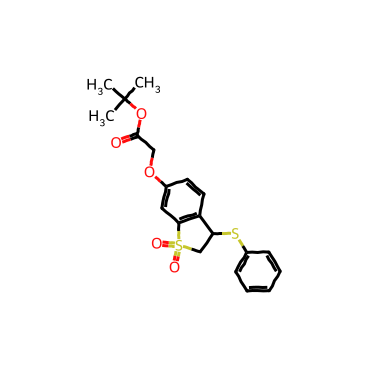 CC(C)(C)OC(=O)COc1ccc2c(c1)S(=O)(=O)CC2Sc1ccccc1